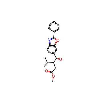 COC(=O)CC(C(=O)c1ccc2nc(-c3ccccc3)oc2c1)C(C)C